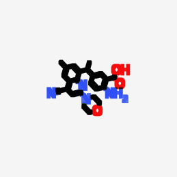 Cc1cc(C(C)c2ccc(N)c(C(=O)O)c2)c2nc(N3CCOCC3)cc(C#N)c2c1